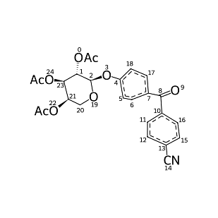 CC(=O)O[C@@H]1[C@@H](Oc2ccc(C(=O)c3ccc(C#N)cc3)cc2)OC[C@@H](OC(C)=O)[C@H]1OC(C)=O